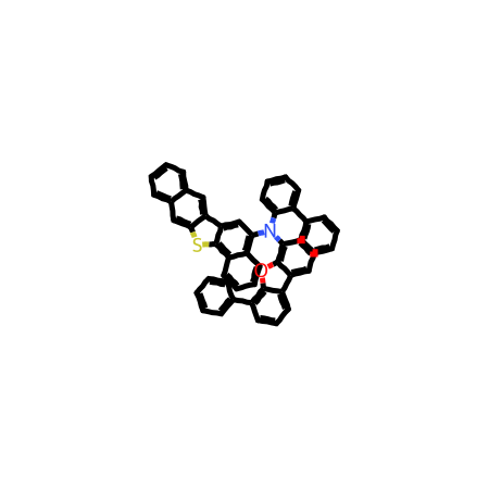 c1ccc(-c2ccccc2N(c2cc3c4cc5ccccc5cc4sc3c3ccccc23)c2cccc3c2oc2c(-c4ccccc4)cccc23)cc1